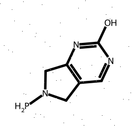 Oc1ncc2c(n1)CN(P)C2